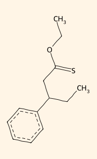 CCOC(=S)CC(CC)c1ccccc1